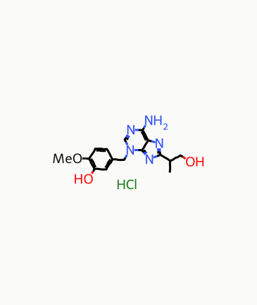 COc1ccc(Cn2cnc(N)c3nc(C(C)CO)nc2-3)cc1O.Cl